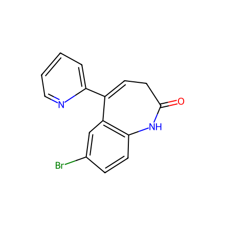 O=C1CC=C(c2ccccn2)c2cc(Br)ccc2N1